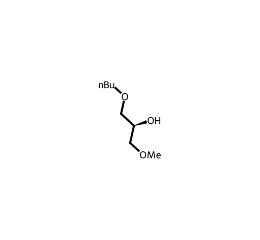 CCCCOC[C@@H](O)COC